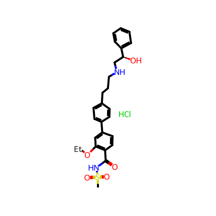 CCOc1cc(-c2ccc(CCCNC[C@H](O)c3ccccc3)cc2)ccc1C(=O)NS(C)(=O)=O.Cl